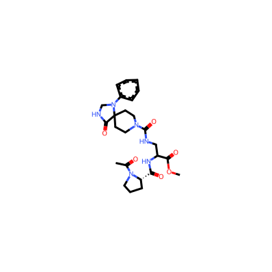 COC(=O)C(CNC(=O)N1CCC2(CC1)C(=O)NCN2c1ccccc1)NC(=O)[C@@H]1CCCN1C(C)=O